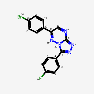 Fc1ccc(-c2nnc3ncc(-c4ccc(Br)cc4)nn23)cc1